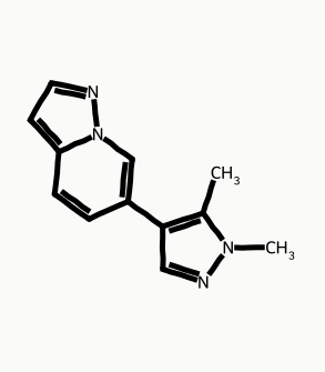 Cc1c(-c2ccc3ccnn3c2)cnn1C